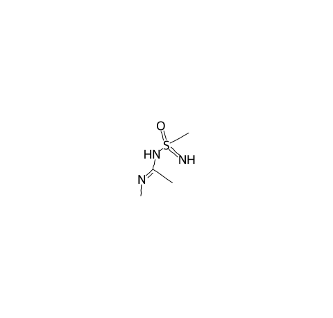 C/N=C(\C)NS(C)(=N)=O